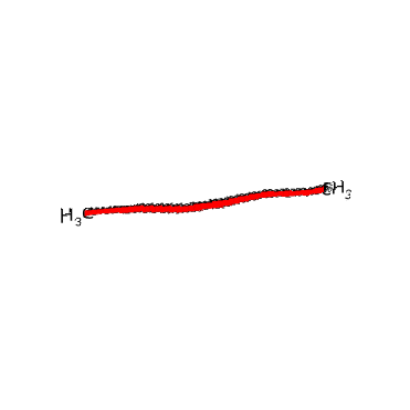 CCCCCCCCCCCCCCCCCCCCCCCCCCCCCCCCCCCCCCCCCCCCCCCCCCCCCCCCCCCCCCCCCCCCCCCCCCCCCCCCCCCCCCC